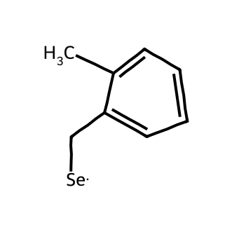 Cc1ccccc1C[Se]